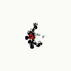 CC(=O)O[C@H]1C(=O)[C@]2(C)[C@@H](OC(=O)OC[n+]3cccc(C(=O)N(C)C)c3)C[C@H]3OC[C@@]3(OC(C)=O)[C@H]2[C@H](OC(=O)c2ccccc2)[C@]2(O)C[C@H](OC(=O)[C@H](OC(=O)OC[n+]3cccc(C(=O)N(C)C)c3)[C@@H](NC(=O)c3ccccc3)c3ccccc3)C(C)=C1C2(C)C.[I-].[I-]